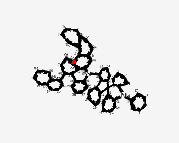 c1ccc(N2c3ccccc3C3(c4ccccc4-c4c(N(c5ccc6c(ccc7ccccc76)c5)c5ccccc5-c5ccccc5-c5cccc6ccccc56)cccc43)c3ccccc32)cc1